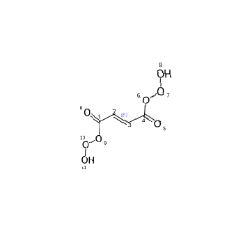 O=C(/C=C/C(=O)OOO)OOO